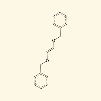 C(=COCc1ccccc1)OCc1ccccc1